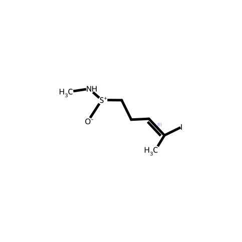 CN[S+]([O-])CC/C=C(\C)I